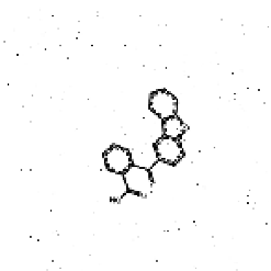 O=C(O)c1ccccc1C(=O)c1ccc2oc3ccccc3c2c1